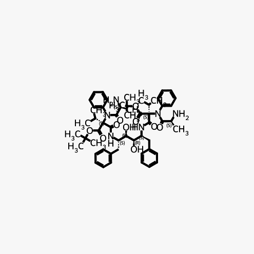 CC(C)[C@](C(=O)N[C@@H](Cc1ccccc1)[C@@H](O)[C@H](O)[C@H](Cc1ccccc1)NC(=O)[C@](C(=O)OC(C)(C)C)(C(C)C)N(C(=O)[C@H](C)N)c1ccccc1)(C(=O)OC(C)(C)C)N(C(=O)[C@H](C)N)c1ccccc1